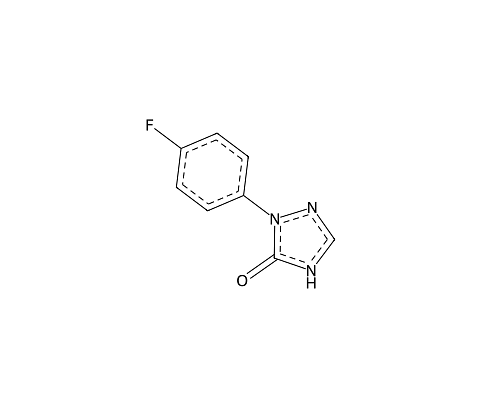 O=c1[nH]cnn1-c1ccc(F)cc1